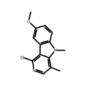 COc1ccc2c(c1)c1c(Cl)ncc(C)c1n2C